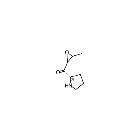 CC1OC1C(=O)[C@@H]1CCCN1